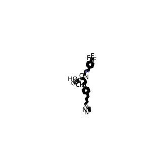 CS(=O)(=O)O.FC(F)(F)c1ccc(/C=C/c2nc(COc3ccc(CCCCn4ccnn4)cc3)co2)cc1